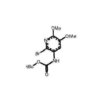 COc1cc(NC(=O)OC(C)(C)C)c(Br)nc1OC